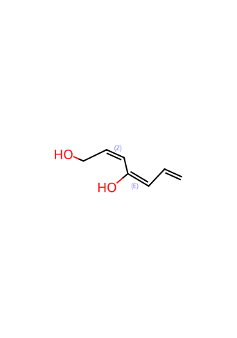 C=C/C=C(O)\C=C/CO